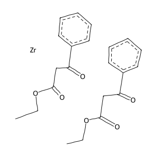 CCOC(=O)CC(=O)c1ccccc1.CCOC(=O)CC(=O)c1ccccc1.[Zr]